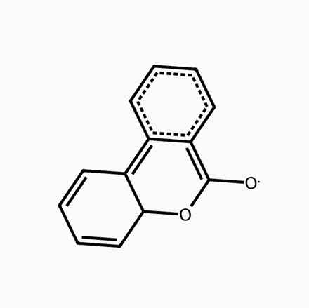 [O]C1=c2ccccc2=C2C=CC=CC2O1